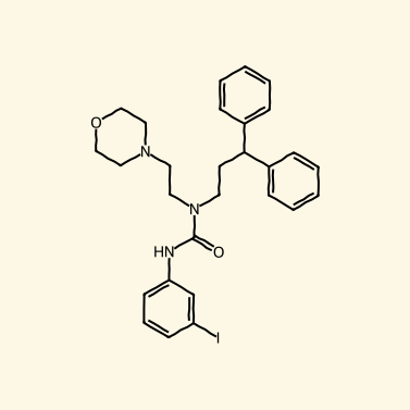 O=C(Nc1cccc(I)c1)N(CCC(c1ccccc1)c1ccccc1)CCN1CCOCC1